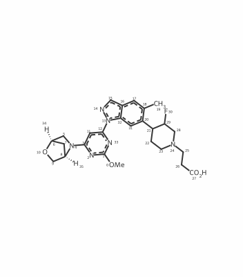 COc1nc(N2C[C@H]3C[C@@H]2CO3)cc(-n2ncc3cc(C)c(C4CCN(CCC(=O)O)CC4F)cc32)n1